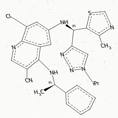 Cc1ncsc1[C@H](Nc1cc(Cl)c2ncc(C#N)c(N[C@H](C)c3ccccc3)c2c1)c1cn(C(C)C)nn1